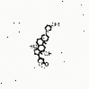 CC12CCC(N3CC[C@H](O)C3)CC1CCC1C2CC(O)C2(C)C(C3=CC(=O)OC3)CCC12O